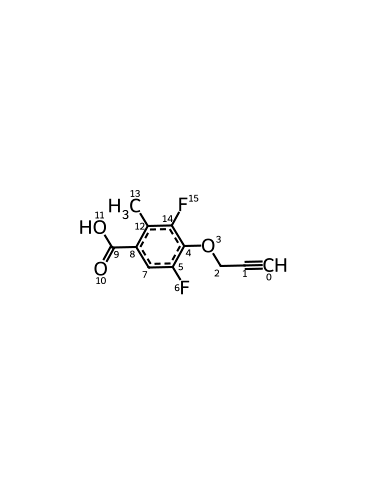 C#CCOc1c(F)cc(C(=O)O)c(C)c1F